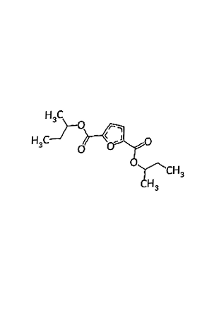 CCC(C)OC(=O)c1ccc(C(=O)OC(C)CC)o1